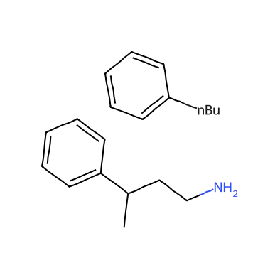 CC(CCN)c1ccccc1.CCCCc1ccccc1